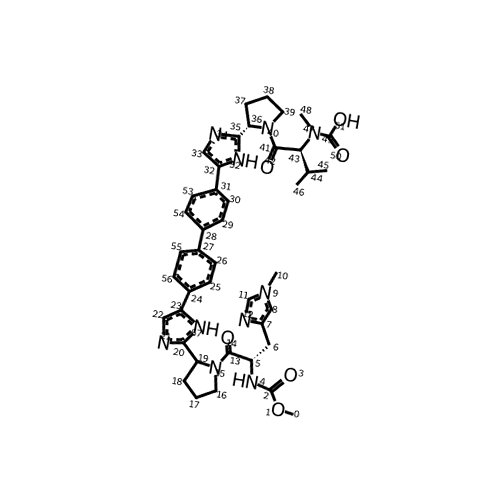 COC(=O)N[C@@H](Cc1cn(C)cn1)C(=O)N1CCCC1c1ncc(-c2ccc(-c3ccc(-c4cnc([C@@H]5CCCN5C(=O)[C@H](C(C)C)N(C)C(=O)O)[nH]4)cc3)cc2)[nH]1